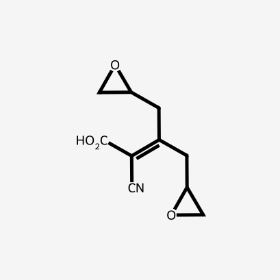 N#CC(C(=O)O)=C(CC1CO1)CC1CO1